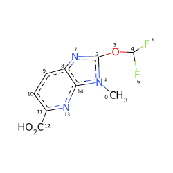 Cn1c(OC(F)F)nc2ccc(C(=O)O)nc21